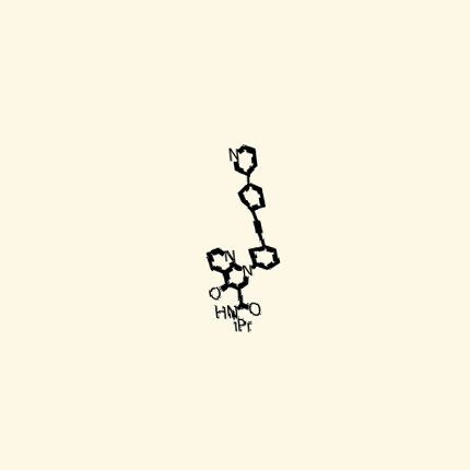 CC(C)NC(=O)c1cn(-c2cccc(C#Cc3ccc(-c4cccnc4)cc3)c2)c2ncccc2c1=O